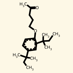 CCC(C)(C)c1ccc(OCCCC(C)=O)c(C(C)(C)CC)c1